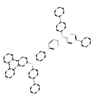 C1=CC(N(c2ccc(-c3ccccc3)cc2)C2C=CC(c3ccc(N(c4ccc(-c5ccccc5)cc4)c4ccc5c6ccccc6c6ccccc6c5c4)cc3)=CC2)CC=C1c1ccccc1